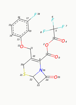 O=C(OC(=O)C(F)(F)F)C1=C(COc2cccc(F)c2)CSC2CC(=O)N12